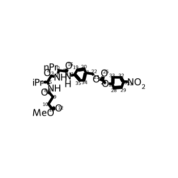 CCC[C@H](NC(=O)C(NC(=O)CCC(=O)OC)C(C)C)C(=O)Nc1ccc(COC(=O)Oc2ccc([N+](=O)[O-])cc2)cc1